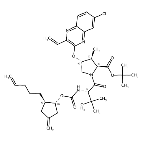 C=CCCC[C@@H]1CC(=C)C[C@H]1OC(=O)N[C@H](C(=O)N1C[C@H](Oc2nc3cc(Cl)ccc3nc2C=C)[C@@H](C)[C@H]1C(=O)OC(C)(C)C)C(C)(C)C